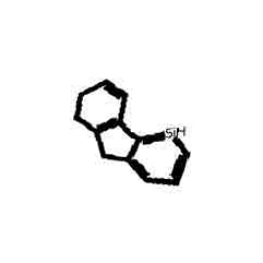 C1=CC2=C(CC1)Cc1ccc[siH]c12